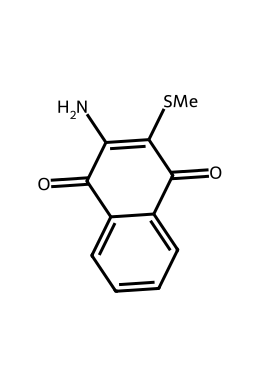 CSC1=C(N)C(=O)c2ccccc2C1=O